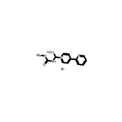 CCCCCCCCC(NC(=O)OC(C)(C)C)[n+]1ccc(-c2ccccn2)cc1.[Br-]